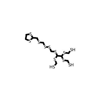 SCSC(SCS)C(SCS)SCSSCSCC1SCCS1